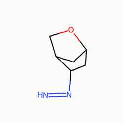 N=N[C]1CC2CC1CO2